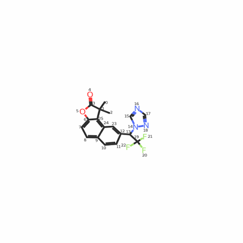 CC1(C)C(=O)Oc2ccc3ccc(C(n4cncn4)C(F)(F)F)cc3c21